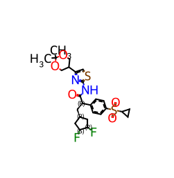 CC1(C)OCC(c2csc(NC(=O)[C@H](C[C@H]3C[C@@H](F)[C@@H](F)C3)c3ccc(S(=O)(=O)C4CC4)cc3)n2)CO1